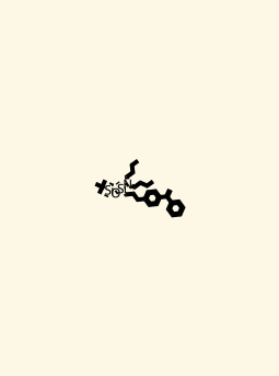 C=C(c1ccccc1)c1ccc(CCC[Si](C)(O[Si](C)(C)C(C)(C)C)N(CCCC)CCCC)cc1